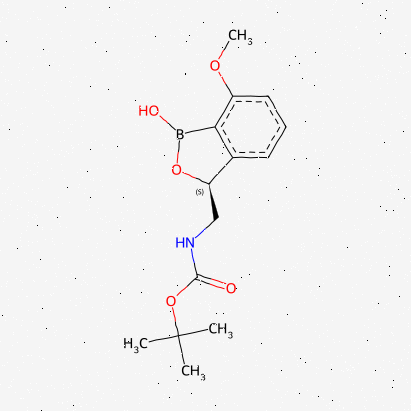 COc1cccc2c1B(O)O[C@@H]2CNC(=O)OC(C)(C)C